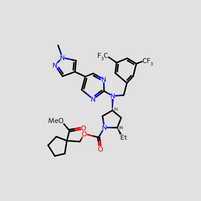 CC[C@@H]1C[C@H](N(Cc2cc(C(F)(F)F)cc(C(F)(F)F)c2)c2ncc(-c3cnn(C)c3)cn2)CN1C(=O)OCC1(C(=O)OC)CCCC1